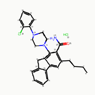 CCCCc1cc2c(c(N3CCN(c4ccccc4Cl)CC3)c1C(N)=O)Cc1ccccc1-2.Cl